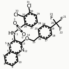 O=S(=O)(Nc1nc2ccccc2nc1OCc1ccc(C(F)(F)F)cc1)c1cccc(Cl)c1Cl